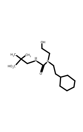 CC(C)(CNC(=O)N(CCO)CCC1CCCCC1)C(=O)O